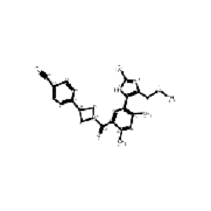 COCc1nc(C)[nH]c1-c1cc(C(=O)N2CC(c3ccc(C#N)cc3)C2)c(C)cc1C